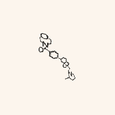 CC1CCCN1CCc1cc2ccc(-c3ccc(C(=O)N4CCOCC4)cc3)cc2o1